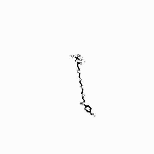 CC(C)(C)OC(=O)CCOCCOCCOCCOCCNc1ccc(N)cn1